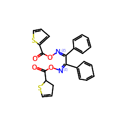 O=C(O/N=C(\C(=N/OC(=O)C1CC=CS1)c1ccccc1)c1ccccc1)c1cccs1